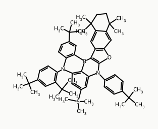 CC(C)(C)c1ccc(N2c3cc(S(C)(C)C)cc4c3B(c3cc(C(C)(C)C)ccc3N4c3ccc(C(C)(C)C)cc3C(C)(C)C)c3c2oc2cc4c(cc32)C(C)(C)CCC4(C)C)cc1